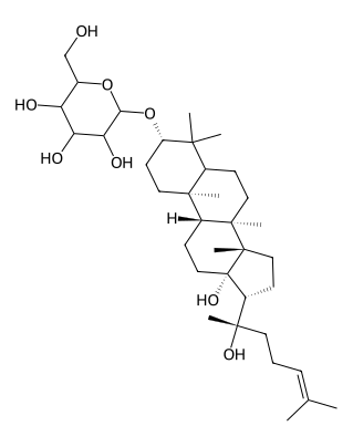 CC(C)=CCC[C@](C)(O)[C@H]1CC[C@@]2(C)[C@]3(C)CCC4C(C)(C)[C@@H](OC5OC(CO)C(O)C(O)C5O)CC[C@]4(C)[C@H]3CC[C@]12O